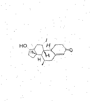 C[C@@H]1CC2=CC(=O)CC[C@@H]2[C@@H]2[C@@H]1[C@@H]1CC[C@H](O)[C@@]1(C)C[C@@H]2I